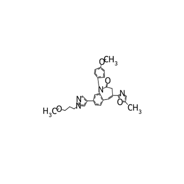 COCCCn1cc(-c2ccc3c(c2)N(Cc2ccc(OC)cc2)C(=O)CC(c2ncc(C)o2)=C3)cn1